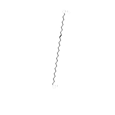 CCCCCCCCCC=CCCCCCCCCCCCCCCCCCCC